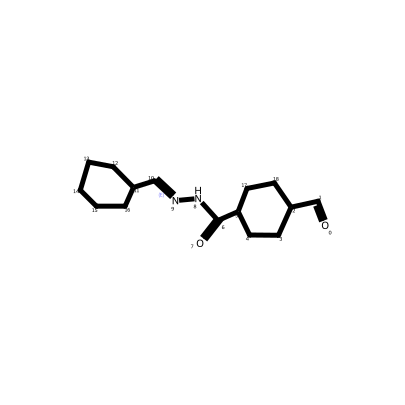 O=CC1CCC(C(=O)N/N=C/C2CCCCC2)CC1